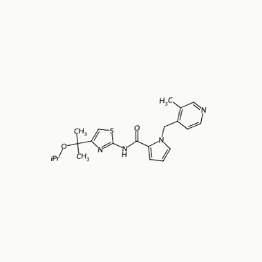 Cc1cnccc1Cn1cccc1C(=O)Nc1nc(C(C)(C)OC(C)C)cs1